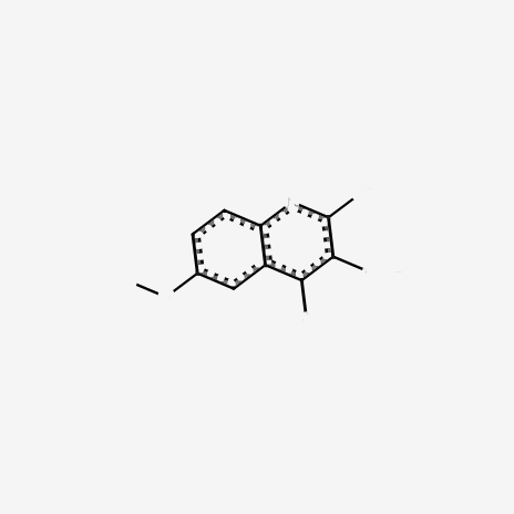 O=C(O)c1c(C(F)(F)F)nc2ccc(OC(F)(F)F)cc2c1Cl